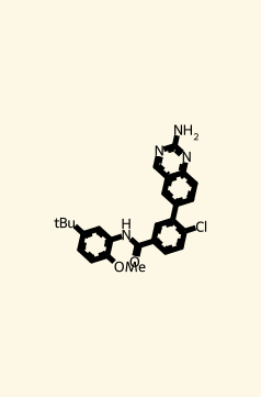 COc1ccc(C(C)(C)C)cc1NC(=O)c1ccc(Cl)c(-c2ccc3nc(N)ncc3c2)c1